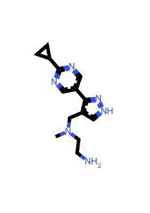 CN(CCN)Cc1c[nH]nc1-c1cnc(C2CC2)nc1